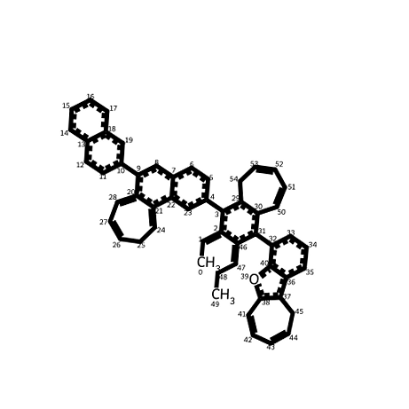 C/C=c1/c(-c2ccc3cc(-c4ccc5ccccc5c4)c4c(c3c2)=CCC=CC=4)c2c(c(-c3cccc4c5c(oc34)C=CC=CC5)/c1=C/CC)C=CC=CC2